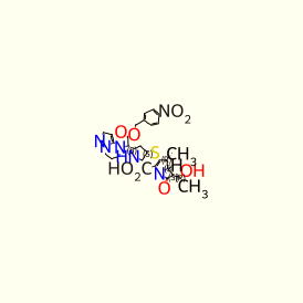 C[C@@H](O)[C@H]1C(=O)N2C(C(=O)O)=C(S[C@@H]3CN[C@H](C(C(=O)OCc4ccc([N+](=O)[O-])cc4)N4CCCn5nccc54)C3)[C@H](C)[C@H]12